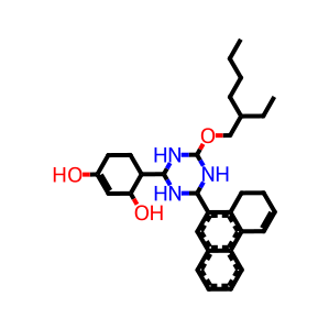 CCCCC(CC)COC1NC(c2cc3ccccc3c3c2CCC=C3)NC(C2CCC(O)=CC2O)N1